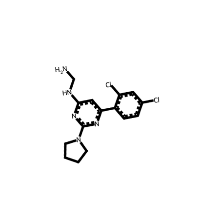 NCNc1cc(-c2ccc(Cl)cc2Cl)nc(N2CCCC2)n1